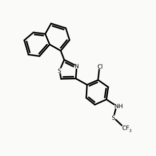 FC(F)(F)SNc1ccc(-c2csc(-c3cccc4ccccc34)n2)c(Cl)c1